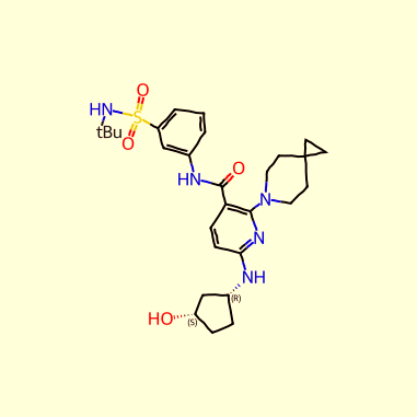 CC(C)(C)NS(=O)(=O)c1cccc(NC(=O)c2ccc(N[C@@H]3CC[C@H](O)C3)nc2N2CCC3(CC2)CC3)c1